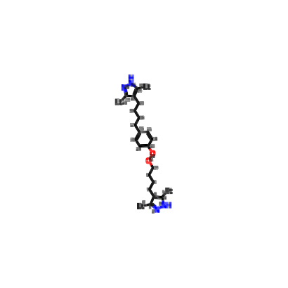 CCc1n[nH]c(CC)c1CCCCOOc1ccc(CCCCc2c(CC)n[nH]c2CC)cc1